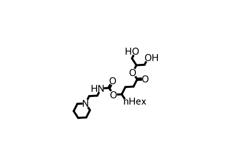 CCCCCCC(CCC(=O)OC(CO)CO)OC(=O)NCCN1CCCCC1